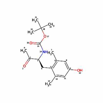 CC(=O)[C@H](Cc1c(C)cc(O)cc1C)NC(=O)OC(C)(C)C